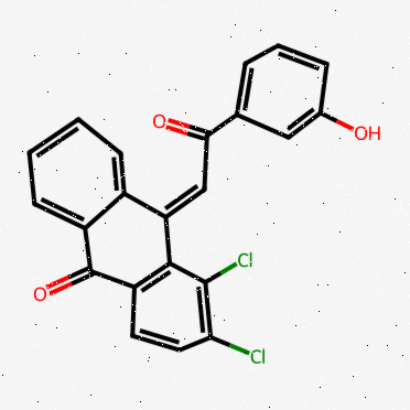 O=C(C=C1c2ccccc2C(=O)c2ccc(Cl)c(Cl)c21)c1cccc(O)c1